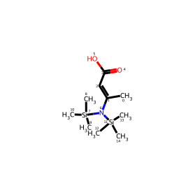 CC(=CC(=O)O)N([Si](C)(C)C)[Si](C)(C)C